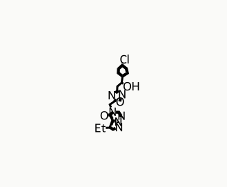 CCc1cnn2ncn(Cc3nc(CC(O)c4ccc(Cl)cc4)no3)c(=O)c12